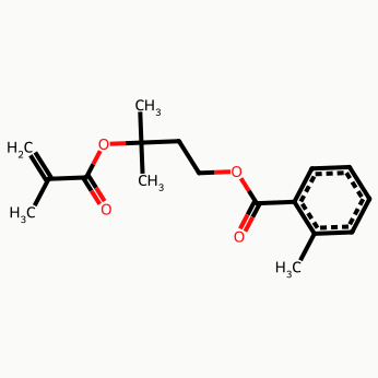 C=C(C)C(=O)OC(C)(C)CCOC(=O)c1ccccc1C